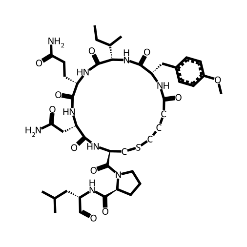 CCC(C)[C@@H]1NC(=O)[C@H](Cc2ccc(OC)cc2)NC(=O)CCCSC[C@@H](C(=O)N2CCC[C@H]2C(=O)N[C@H](C=O)CC(C)C)NC(=O)[C@H](CC(N)=O)NC(=O)[C@H](CCC(N)=O)NC1=O